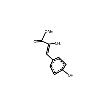 COC(=O)/C(C)=C/c1ccc(O)cc1